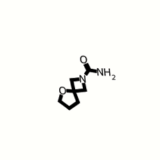 NC(=O)N1CC2(CCCO2)C1